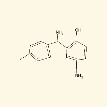 Cc1ccc(C(N)c2cc(N)ccc2O)cc1